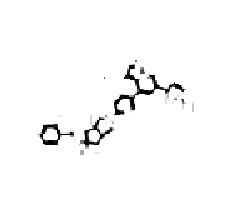 Cn1ccc(-c2cc(-c3ccc(N4C[C@@H]5CC(C)(NC(=O)c6c(F)cccc6Cl)C[C@@H]5C4)nc3)c3c(C#N)cnn3c2)n1